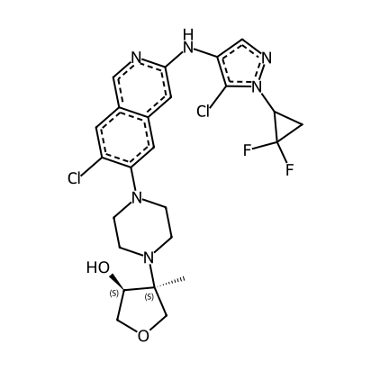 C[C@]1(N2CCN(c3cc4cc(Nc5cnn(C6CC6(F)F)c5Cl)ncc4cc3Cl)CC2)COC[C@H]1O